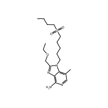 CCCCS(=O)(=O)CCCCCn1c(COCC)nc2c(N)ncc(C)c21